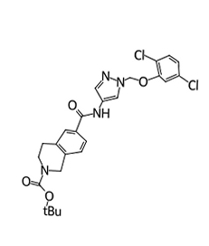 CC(C)(C)OC(=O)N1CCc2cc(C(=O)Nc3cnn(COc4cc(Cl)ccc4Cl)c3)ccc2C1